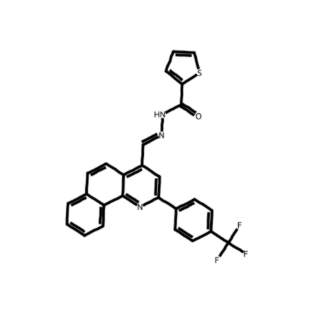 O=C(NN=Cc1cc(-c2ccc(C(F)(F)F)cc2)nc2c1ccc1ccccc12)c1cccs1